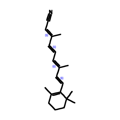 CC1=C(/C=C/C(C)=C/C=C/C(C)=C/C#N)C(C)(C)CCC1